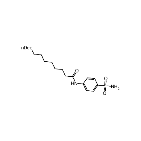 CCCCCCCCCCCCCCCCCC(=O)Nc1ccc(S(N)(=O)=O)cc1